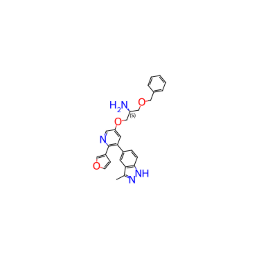 Cc1n[nH]c2ccc(-c3cc(OC[C@@H](N)COCc4ccccc4)cnc3-c3ccoc3)cc12